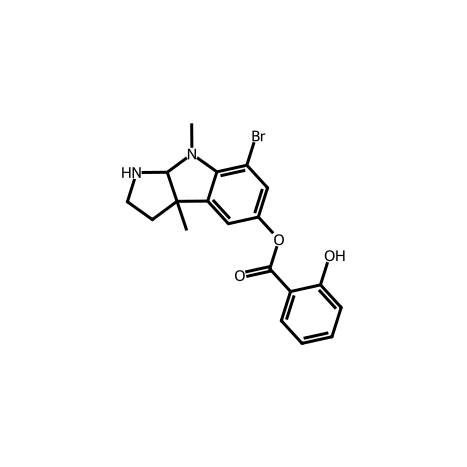 CN1c2c(Br)cc(OC(=O)c3ccccc3O)cc2C2(C)CCNC12